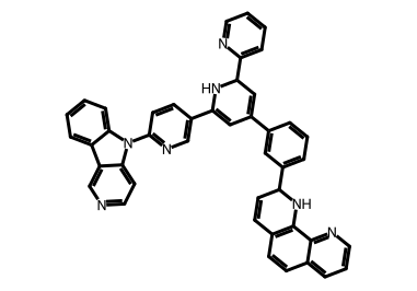 C1=CC(c2cccc(C3=CC(c4ccccn4)NC(c4ccc(-n5c6ccccc6c6cnccc65)nc4)=C3)c2)Nc2c1ccc1cccnc21